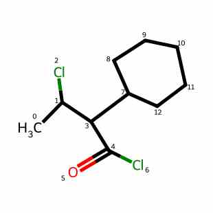 CC(Cl)C(C(=O)Cl)C1CCCCC1